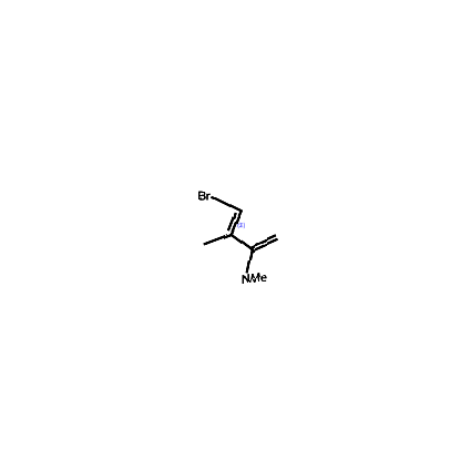 C=C(NC)/C(C)=C/Br